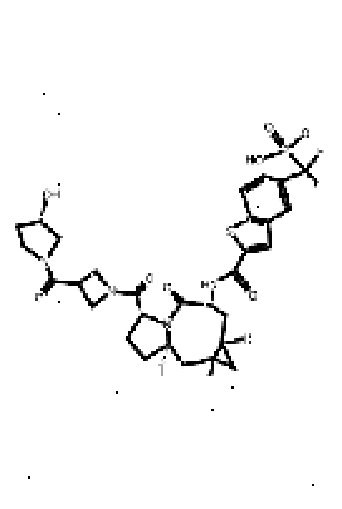 O=C(N[C@H]1C[C@@H]2C[C@@H]2C[C@H]2CC[C@@H](C(=O)N3CC(C(=O)N4CC[C@@H](O)C4)C3)N2C1=O)c1cc2cc(C(F)(F)P(=O)(O)O)ccc2s1